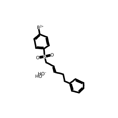 [B+2]c1ccc(S(=O)(=O)CC=CCCc2ccccc2)cc1.[OH-].[OH-]